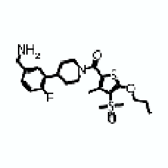 CCCOc1sc(C(=O)N2CCC(c3cc(CN)ccc3F)CC2)c(C)c1[SH](C)(C)=O